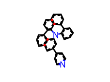 c1ccc(-c2ccccc2N(c2cccc(-c3ccncc3)c2)c2ccccc2-c2ccccc2)cc1